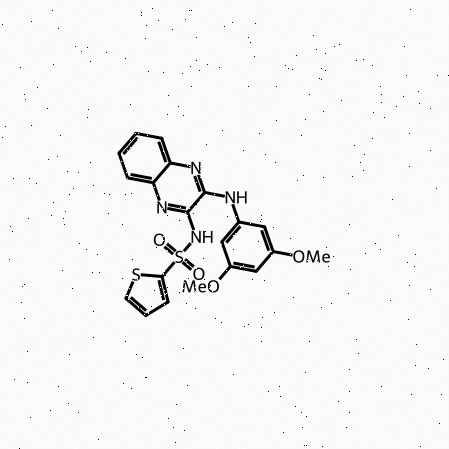 COc1cc(Nc2nc3ccccc3nc2NS(=O)(=O)c2cccs2)cc(OC)c1